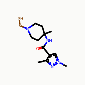 Cc1nn(C)cc1C(=O)NC1(C)CCN(SS)CC1